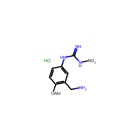 COc1ccc(NC(=N)N[N+](=O)[O-])cc1CN.Cl